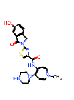 CN1C=CC(N2CCNCC2)=C(NC(=O)c2csc(N3Cc4ccc(O)cc4C3=O)n2)CC1